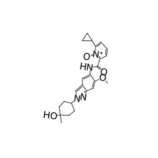 COc1cc2nn(C3CCC(C)(O)CC3)cc2cc1NC(=O)c1cccc(C2CC2)[n+]1[O-]